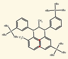 CCCC[Si](CCCC)(CCCC)c1cccc(P(c2cccc([Si](CCCC)(CCCC)CCCC)c2)N(C)P(c2cccc([Si](CCCC)(CCCC)CCCC)c2)c2ccccc2C(F)(F)F)c1